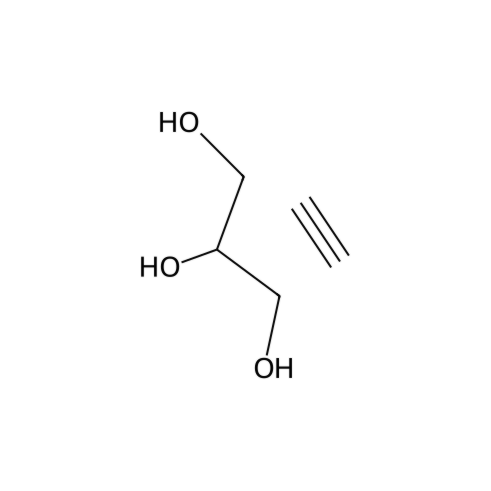 C#C.OCC(O)CO